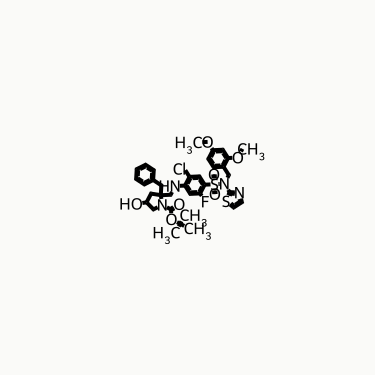 COc1ccc(CN(c2nccs2)S(=O)(=O)c2cc(Cl)c(NCC3(Cc4ccccc4)CC(O)CN3C(=O)OC(C)(C)C)cc2F)c(OC)c1